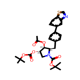 CC(=O)O[C@@H]1[C@@H](OC(=O)OC(C)(C)C)CN(C(=O)OC(C)(C)C)[C@@H]1Cc1ccc(-c2ccc3scnc3c2)cc1